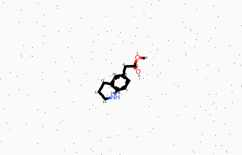 COC(=O)Cc1ccc2c(c1)CCCN2